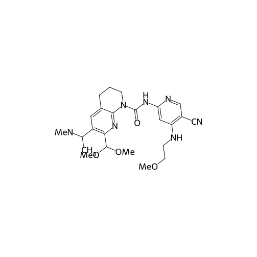 CNC(C)c1cc2c(nc1C(OC)OC)N(C(=O)Nc1cc(NCCOC)c(C#N)cn1)CCC2